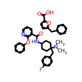 CN(C)C1(Cc2ccc(F)cc2)CCC(NC(=O)c2cccnc2Oc2ccccc2)CC1.O=C(O)c1ccc(Cc2ccccc2)o1